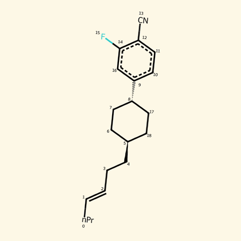 CCCC=CCC[C@H]1CC[C@H](c2ccc(C#N)c(F)c2)CC1